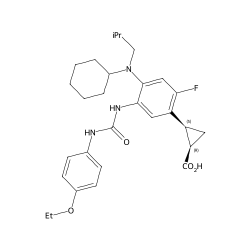 CCOc1ccc(NC(=O)Nc2cc([C@H]3C[C@H]3C(=O)O)c(F)cc2N(CC(C)C)C2CCCCC2)cc1